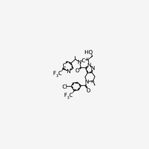 CC(c1ccc(C(F)(F)F)nc1)N1C[C@@H](CO)n2nc3c(c2C1=O)CN(C(=O)c1ccc(Cl)c(C(F)(F)F)c1)[C@H](C)C3